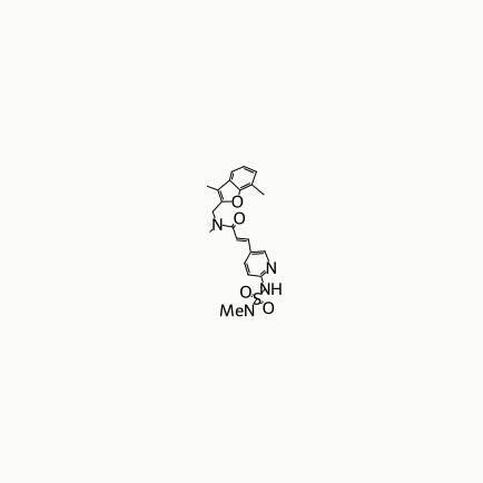 CNS(=O)(=O)Nc1ccc(/C=C/C(=O)N(C)Cc2oc3c(C)cccc3c2C)cn1